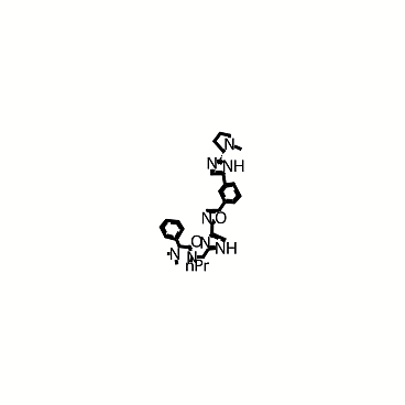 CCCN(Cc1nc(-c2ncc(-c3cccc(-c4cnc([C@@H]5CCCN5C)[nH]4)c3)o2)c[nH]1)C(=O)[C@@H](c1ccccc1)N(C)C